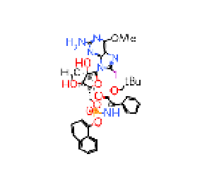 COc1nc(N)nc2c1nc(I)n2C1O[C@H](COP(=O)(N[C@H](C(=O)OCC(C)(C)C)c2ccccc2)Oc2cccc3ccccc23)[C@@H](O)[C@@]1(C)O